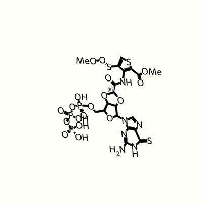 COOSc1csc(C(=O)OC)c1NC(=O)[C@@H]1OC2C(COP(=O)(O)OP(=O)(O)OP(=O)(O)O)OC(n3cnc4c(=S)[nH]c(N)nc43)C2O1